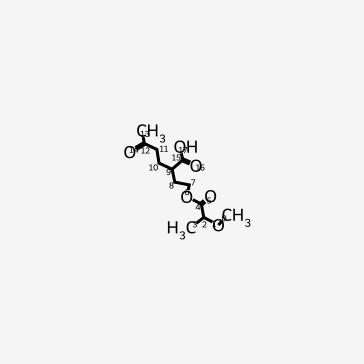 COC(C)C(=O)OCCC(CCC(C)=O)C(=O)O